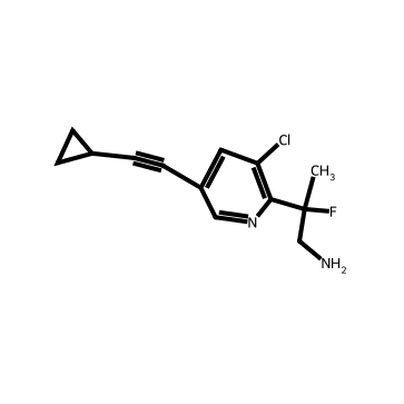 CC(F)(CN)c1ncc(C#CC2CC2)cc1Cl